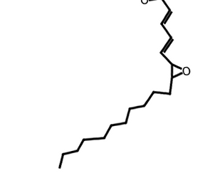 CCCCCCCCCCCC1OC1C=CC=CC(=O)O